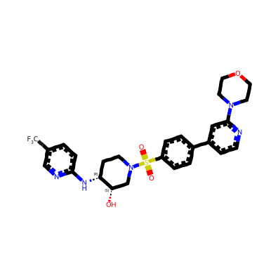 O=S(=O)(c1ccc(-c2ccnc(N3CCOCC3)c2)cc1)N1CC[C@@H](Nc2ccc(C(F)(F)F)cn2)[C@@H](O)C1